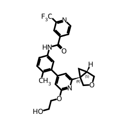 Cc1ccc(NC(=O)c2ccnc(C(F)(F)F)c2)cc1-c1cc(OCCO)nc([C@]23COC[C@H]2C3)c1